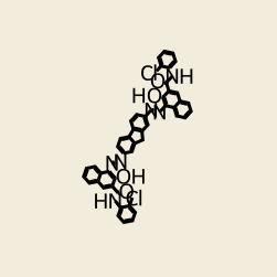 O=C(Nc1ccccc1Cl)c1cc2ccccc2c(N=Nc2ccc3c(c2)Cc2cc(N=Nc4c(O)c(C(=O)Nc5ccccc5Cl)cc5ccccc45)ccc2-3)c1O